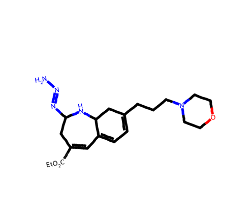 CCOC(=O)C1=CC2=CC=C(CCCN3CCOCC3)CC2NC(N=NN)C1